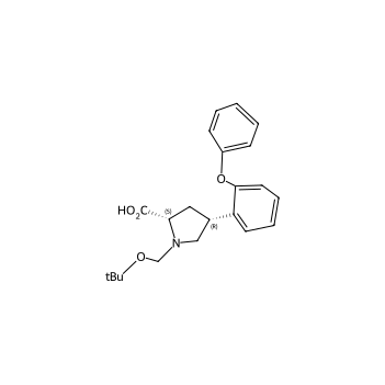 CC(C)(C)OCN1C[C@@H](c2ccccc2Oc2ccccc2)C[C@H]1C(=O)O